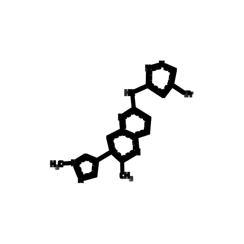 Cc1nc2ccc(Nc3cc(C(C)C)cnn3)nc2cc1-c1cnn(C)c1